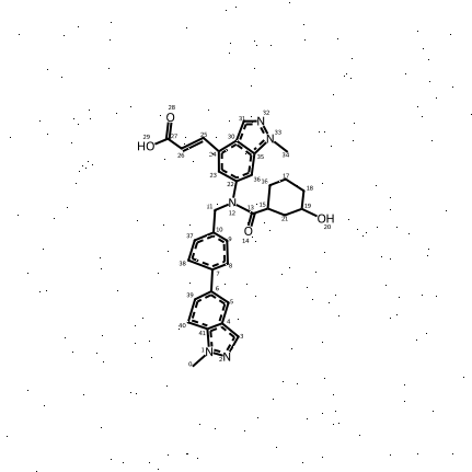 Cn1ncc2cc(-c3ccc(CN(C(=O)C4CCCC(O)C4)c4cc(C=CC(=O)O)c5cnn(C)c5c4)cc3)ccc21